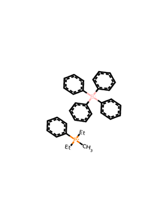 CC[P+](C)(CC)c1ccccc1.c1ccc([B-](c2ccccc2)(c2ccccc2)c2ccccc2)cc1